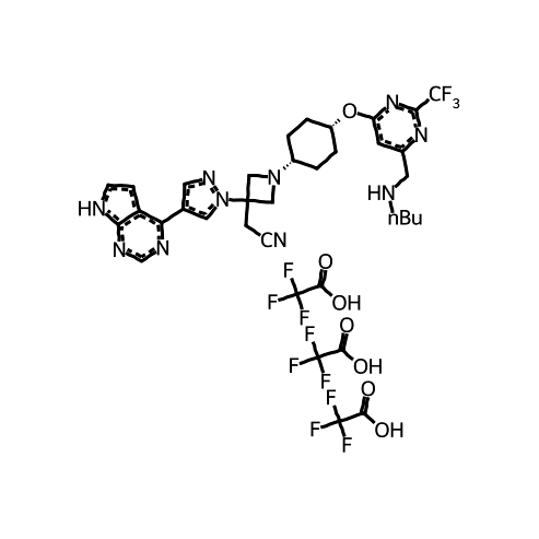 CCCCNCc1cc(O[C@H]2CC[C@@H](N3CC(CC#N)(n4cc(-c5ncnc6[nH]ccc56)cn4)C3)CC2)nc(C(F)(F)F)n1.O=C(O)C(F)(F)F.O=C(O)C(F)(F)F.O=C(O)C(F)(F)F